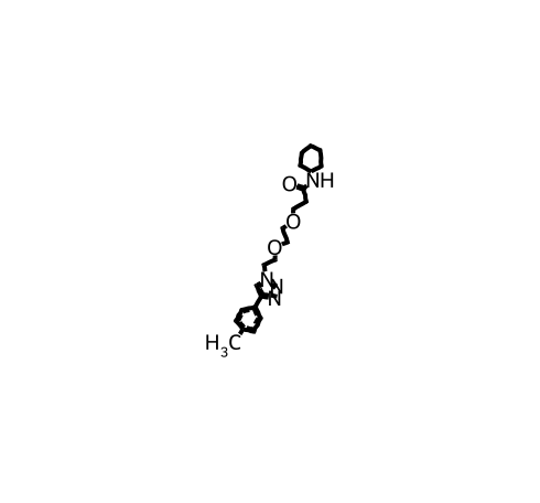 Cc1ccc(-c2cn(CCOCCOCCC(=O)NC3CCCCC3)nn2)cc1